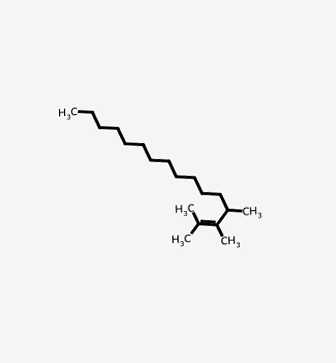 CCCCCCCCCCCCC(C)C(C)=C(C)C